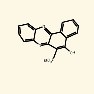 CCOC(=O)c1c(O)c2ccccc2c2nc3ccccc3nc12